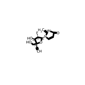 C#C[C@]1(CO)O[C@@H](N2C=CC(=O)NC2=C)[C@@H](F)[C@@H]1O